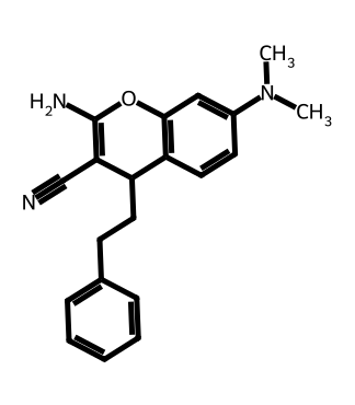 CN(C)c1ccc2c(c1)OC(N)=C(C#N)C2CCc1ccccc1